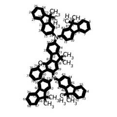 CC1(C)c2ccccc2-c2ccc(N(c3ccc4c(c3)C(C)(C)c3ccccc3-4)c3ccc4c(c3)C(C)(C)c3cc(N(c5ccc6c(c5)C(C)(C)c5ccccc5-6)c5ccc6c(c5)C(C)(C)c5ccccc5-6)c5c(oc6ccccc65)c3-4)cc21